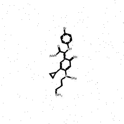 CNC(=O)/C(Nc1ccc(Br)cc1)=C1\C=C(C2CC2)C(N(CCCN)SC)=CC1=N